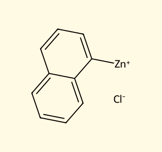 [Cl-].[Zn+][c]1cccc2ccccc12